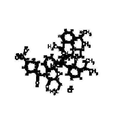 CCC1Oc2c([CH]=[Ru+2][CH]3N(c4c(C(C)C)cccc4C(C)C)CCN3c3c(C(C)C)cccc3C(C)C)cccc2N(C(=O)c2ccc([N+](=O)[O-])cc2)C1=O.[Cl-]